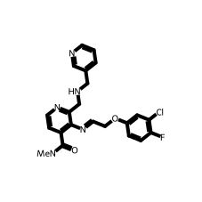 CNC(=O)c1ccnc(CNCc2cccnc2)c1/N=C/COc1ccc(F)c(Cl)c1